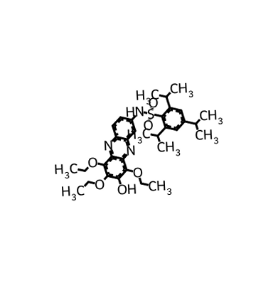 CCOc1c(O)c(OCC)c2nc3cc(NS(=O)(=O)c4c(C(C)C)cc(C(C)C)cc4C(C)C)ccc3nc2c1OCC